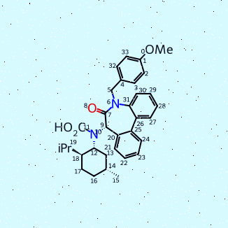 COc1ccc(CN2C(=O)[C@@H](N(C(=O)O)[C@@H]3C[C@H](C)CC[C@H]3C(C)C)c3ccccc3-c3ccccc32)cc1